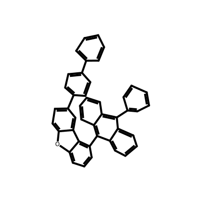 c1ccc(-c2ccc(-c3ccc4oc5cccc(-c6c7ccccc7c(-c7ccccc7)c7ccccc67)c5c4c3)cc2)cc1